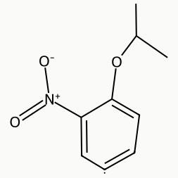 CC(C)Oc1cc[c]cc1[N+](=O)[O-]